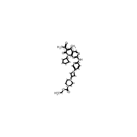 CCOC(=O)N1CCN(C2CN(c3ccc(Nc4ncc5c(C)c(C(C)=O)c(=O)n(C6CCCC6)c5n4)nc3)C2)CC1